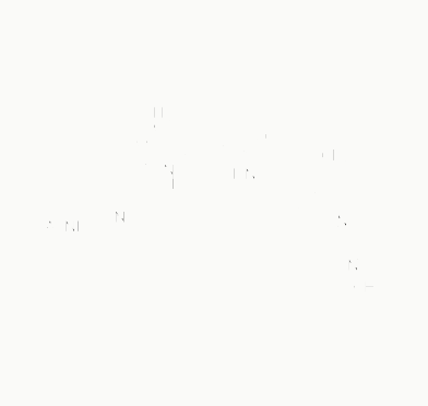 CC(=O)Nc1ccc(C(=O)Nc2cc(C(=O)Nc3ccc(CN4CCN(C)CC4)c(C(F)(F)F)c3)ccc2C)cn1